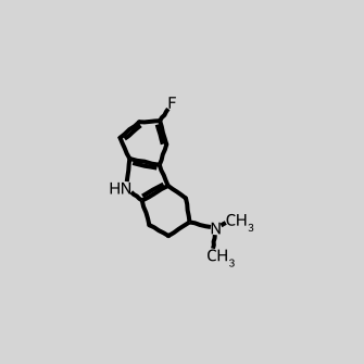 CN(C)C1CCc2[nH]c3ccc(F)cc3c2C1